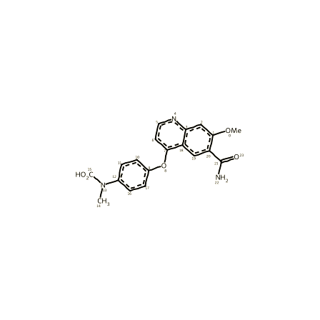 COc1cc2nccc(Oc3ccc(N(C)C(=O)O)cc3)c2cc1C(N)=O